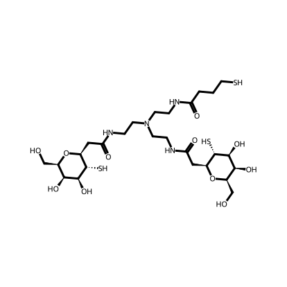 O=C(CCCS)NCCN(CCNC(=O)C[C@@H]1O[C@H](CO)[C@H](O)[C@H](O)[C@H]1S)CCNC(=O)C[C@@H]1O[C@H](CO)[C@H](O)[C@H](O)[C@H]1S